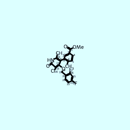 COC(=O)c1ccc(C)c(-c2c(C)[nH]c(=O)c(Cl)c2OCc2ccc(F)cc2F)c1